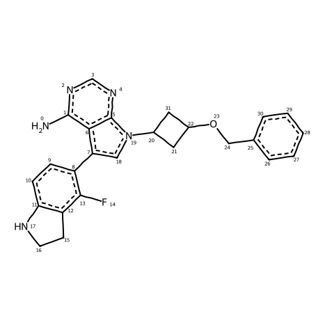 Nc1ncnc2c1c(-c1ccc3c(c1F)CCN3)cn2C1CC(OCc2ccccc2)C1